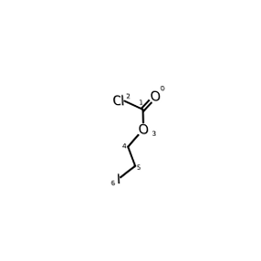 O=C(Cl)OCCI